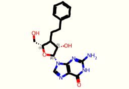 Nc1nc2c(ncn2[C@@H]2O[C@H](CO)C(CCc3ccccc3)[C@@H]2O)c(=O)[nH]1